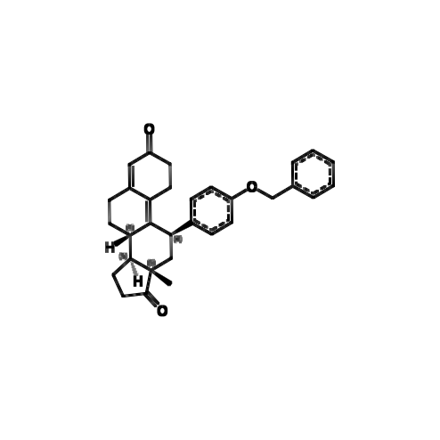 C[C@]12C[C@H](c3ccc(OCc4ccccc4)cc3)C3=C4CCC(=O)C=C4CC[C@H]3[C@@H]1CCC2=O